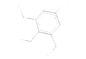 FCc1cc(S)cc(CF)c1CF